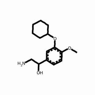 COc1ccc(C(O)CN)cc1OC1CCCCC1